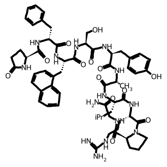 CC(C)C[C@H](NC(=O)[C@@H](C)NC(=O)[C@H](Cc1ccc(O)cc1)NC(=O)[C@H](CO)NC(=O)[C@H](Cc1cccc2ccccc12)NC(=O)[C@@H](Cc1ccccc1)NC(=O)[C@@H]1CCC(=O)N1)C(=O)N[C@@H](CCCNC(=N)N)C(=O)N1CCC[C@H]1C(=O)NCC(N)=O